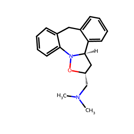 CN(C)C[C@H]1C[C@@H]2c3ccccc3Cc3ccccc3N2O1